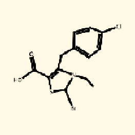 CCN1C(Cc2ccc(Cl)cc2)=C(C(=O)O)SC1Br